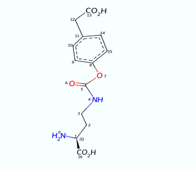 N[C@@H](CCNC(=O)Oc1ccc(CC(=O)O)cc1)C(=O)O